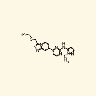 CC(C)CSCc1nnc2cc(-c3ccnc(Nc4ccnn4C)n3)ccn12